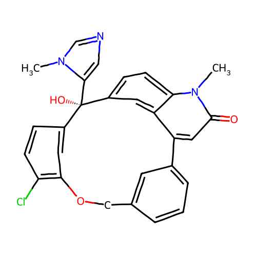 Cn1cncc1[C@]1(O)c2ccc(Cl)c(c2)OCc2cccc(c2)-c2cc(=O)n(C)c3ccc1cc23